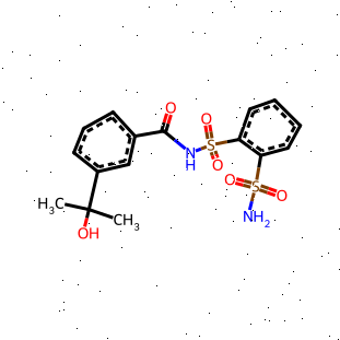 CC(C)(O)c1cccc(C(=O)NS(=O)(=O)c2ccccc2S(N)(=O)=O)c1